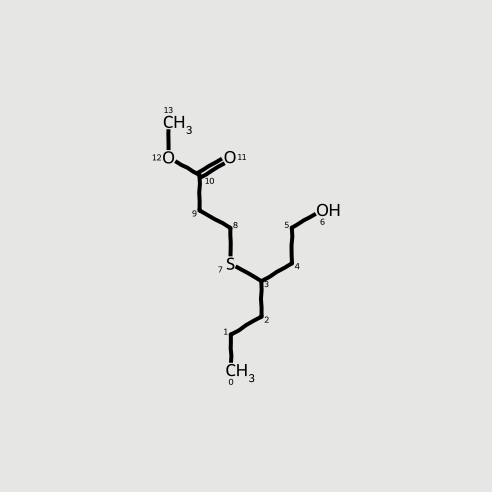 CCCC(CCO)SCCC(=O)OC